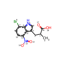 CC(Cc1c[nH]c2c(Br)ccc([N+](=O)[O-])c12)C(=O)O